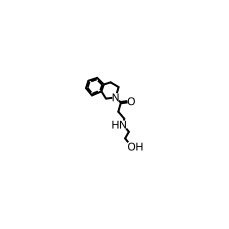 O=C(CCNCCO)N1CCc2ccccc2C1